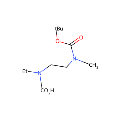 CCN(CCN(C)C(=O)OC(C)(C)C)C(=O)O